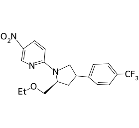 CCOC[C@@H]1CC(c2ccc(C(F)(F)F)cc2)CN1c1ccc([N+](=O)[O-])cn1